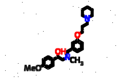 COc1ccc(C(O)CN(C)Cc2cccc(OCCCN3CCCCC3)c2)cc1